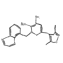 COC1=C([AsH2])C=C(c2c(C)noc2C)CN1Cc1cccc2ncccc12